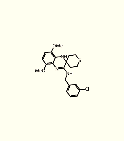 COc1ccc(OC)c2c1N=C(NCc1cccc(Cl)c1)C1(CCSCC1)N2